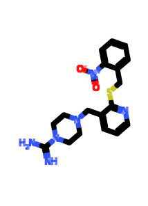 N=C(N)N1CCN(Cc2cccnc2SCc2ccccc2[N+](=O)[O-])CC1